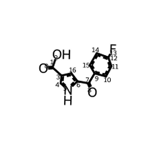 O=C(O)c1c[nH]c(C(=O)c2ccc(F)cc2)c1